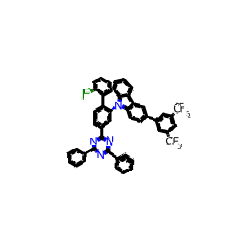 Fc1ccccc1-c1ccc(-c2nc(-c3ccccc3)nc(-c3ccccc3)n2)cc1-n1c2ccccc2c2cc(-c3cc(C(F)(F)F)cc(C(F)(F)F)c3)ccc21